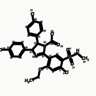 CCOc1cc(Cl)c(S(=O)(=O)NC)cc1C1=NC(c2ccc(Cl)cc2)C(c2ccc(Cl)cc2)N1C(=O)Cl